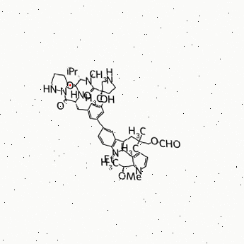 CCn1c(-c2cccnc2[C@H](C)OC)c(CC(C)(C)COC=O)c2cc(-c3cc(O)cc(C[C@H](NC(=O)[C@H](C(C)C)N(C)C(=O)[C@@]4(C)CCNC4)C(=O)N4CCCCN4)c3)ccc21